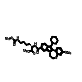 COC(=O)[C@H](CCCCNC(=O)OC(C)(C)C)NC(=O)c1ccc2c(C3CCCCC3)c3n(c2c1)CCOc1cc(OC)ccc1-3